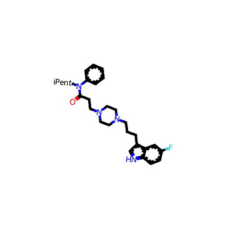 CCCC(C)N(C(=O)CCN1CCN(CCCc2c[nH]c3ccc(F)cc23)CC1)c1ccccc1